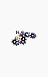 CC(C)CN(C(=O)c1ccccc1Cl)[C@@H]1CCc2ccc(C(=O)N(C)C3CCN(c4ccncc4)CC3)cc21